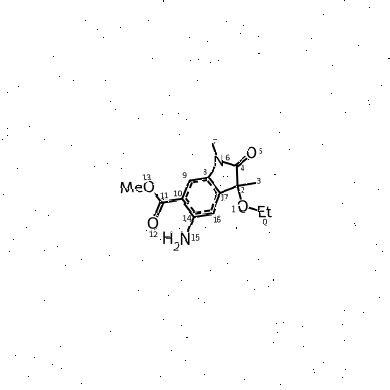 CCOC1(C)C(=O)N(C)c2cc(C(=O)OC)c(N)cc21